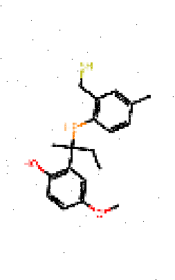 CCC(C)(Pc1ccc(C)cc1CS)c1cc(OC)ccc1O